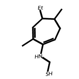 CCC1C=C(C)C(NCS)=CCC1C